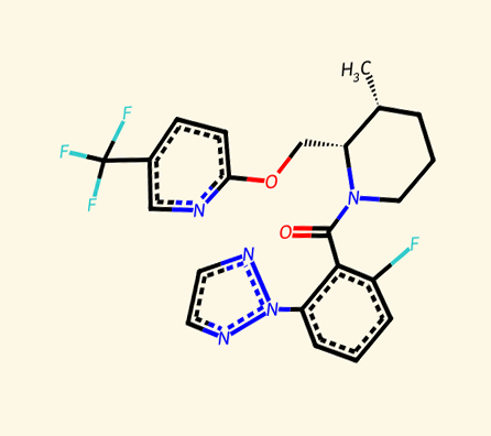 C[C@@H]1CCCN(C(=O)c2c(F)cccc2-n2nccn2)[C@@H]1COc1ccc(C(F)(F)F)cn1